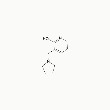 Oc1ncccc1CN1CCCC1